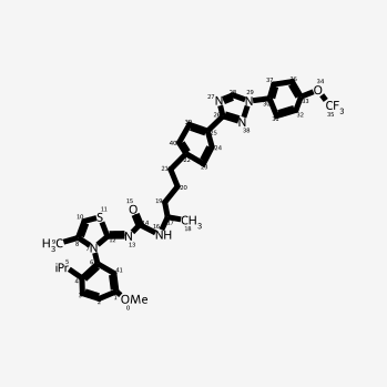 COc1ccc(C(C)C)c(-n2c(C)cs/c2=N\C(=O)NC(C)CCCc2ccc(-c3ncn(-c4ccc(OC(F)(F)F)cc4)n3)cc2)c1